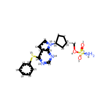 NS(=O)(=O)OC[C@H]1CC[C@H](n2ccc3c(Sc4ccccc4)ncnc32)C1